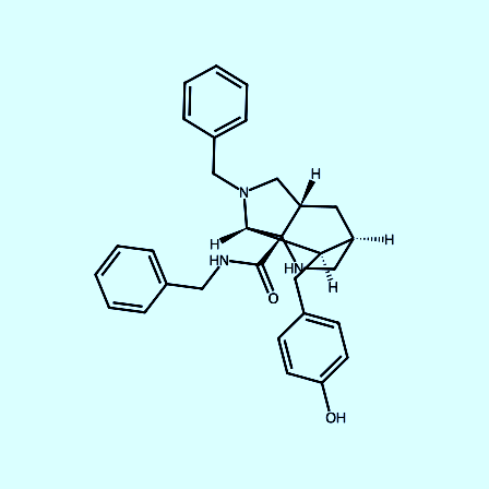 O=C(NCc1ccccc1)[C@]12NC[C@@H]3C[C@H]1CN(Cc1ccccc1)[C@H]2[C@@H]3Cc1ccc(O)cc1